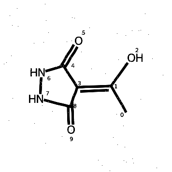 CC(O)=C1C(=O)NNC1=O